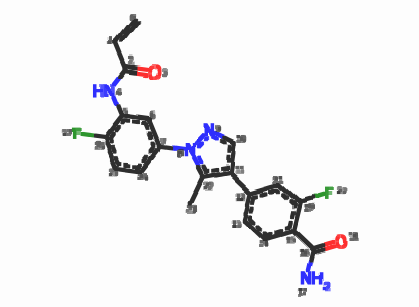 C=CC(=O)Nc1cc(-n2ncc(-c3ccc(C(N)=O)c(F)c3)c2C)ccc1F